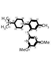 COc1cc(OC)nc(Sc2cc(C)ccc2N2CCC(N(C)C)CC2)n1